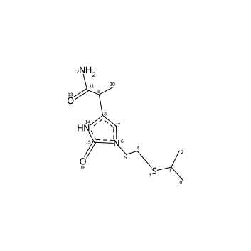 CC(C)SCCn1cc(C(C)C(N)=O)[nH]c1=O